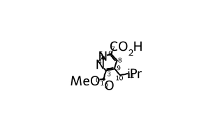 COC(=O)c1nnc(C(=O)O)cc1CC(C)C